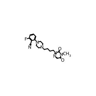 Cn1c(=O)cnn(CCCCN2CCN(c3cccc(F)c3C#N)CC2)c1=O